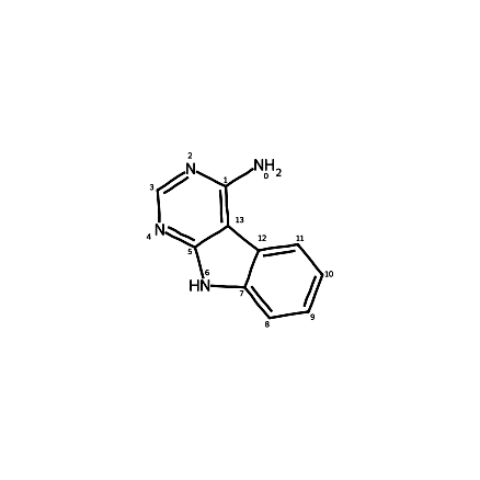 Nc1ncnc2[nH]c3ccccc3c12